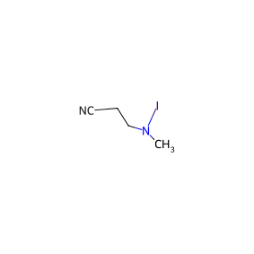 CN(I)CCC#N